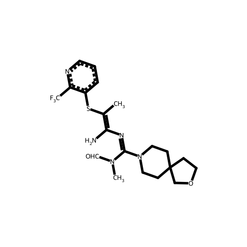 C/C(Sc1cccnc1C(F)(F)F)=C(N)\N=C(/N(C)C=O)N1CCC2(CCOC2)CC1